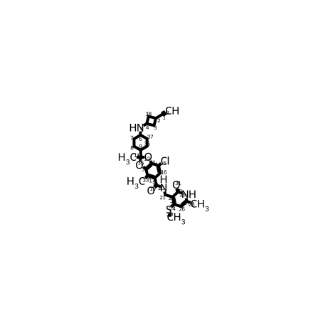 C#CC1CC(NC2CCC(C3(C)Oc4c(Cl)cc(C(=O)NCc5c(SC)cc(C)[nH]c5=O)c(C)c4O3)CC2)C1